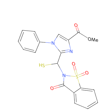 COC(=O)c1cn(-c2ccccc2)c(C(S)N2C(=O)c3ccccc3S2(=O)=O)n1